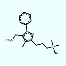 Cc1c(CCO[Si](C)(C)C(C)(C)C)nn(-c2ccccc2)c1NC(=O)O